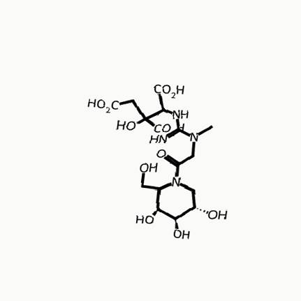 CN(CC(=O)N1C[C@H](O)[C@@H](O)[C@@H](O)C1CO)C(=N)NC(C(=O)O)C(O)(CC(=O)O)C(=O)O